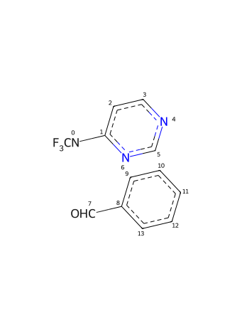 FC(F)(F)Nc1ccncn1.O=Cc1ccccc1